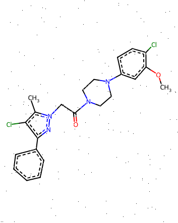 COc1cc(N2CCN(C(=O)Cn3nc(-c4ccccc4)c(Cl)c3C)CC2)ccc1Cl